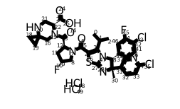 CC(C)C1=C(C(=O)N2C[C@H](F)C[C@H]2C(=O)N2CC3(CC3)NC[C@@H]2C(=O)O)SC2=N[C@@](C)(c3ccc(Cl)nc3)[C@@H](c3ccc(Cl)c(F)c3)N21.Cl.Cl